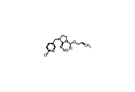 C=CCOC(CC)N1CCN(Cc2ccc(Cl)nc2)C1=NN=O